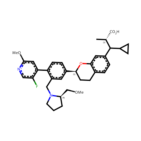 COC[C@H]1CCCN1Cc1cc([C@@H]2CCc3ccc(C(C4CC4)[C@H](C)C(=O)O)cc3O2)ccc1-c1cc(OC)ncc1F